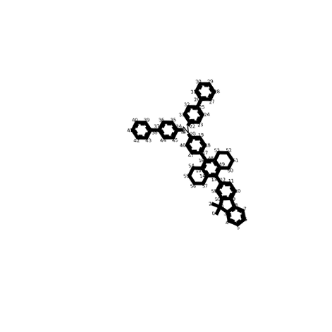 CC1(C)c2ccccc2-c2ccc(-c3c4c(c(-c5ccc(N(c6ccc(-c7ccccc7)cc6)c6ccc(-c7ccccc7)cc6)cc5)c5c3CCCC5)CCCC4)cc21